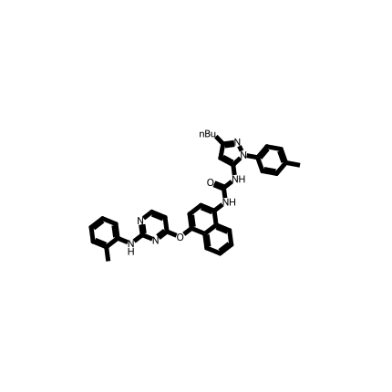 CCCCc1cc(NC(=O)Nc2ccc(Oc3ccnc(Nc4ccccc4C)n3)c3ccccc23)n(-c2ccc(C)cc2)n1